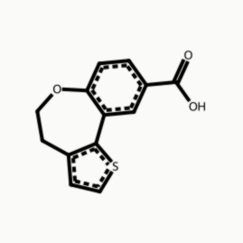 O=C(O)c1ccc2c(c1)-c1sccc1CCO2